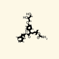 CC(C)(CCC(C(=O)Nc1cc2ccncc2s1)c1ccc(OCC(O)CO)cc1)OC(N)=O